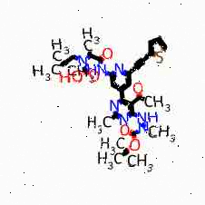 CC(=O)c1c(NN(C)C(=O)OC(C)(C)C)nc(C)nc1-c1cc(C#Cc2cccs2)nc(NC(=O)C(C)N(CC(C)(C)C)C(=O)O)c1